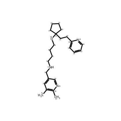 Cc1cc(CNCCCCOC2(CCc3ccccn3)CCCC2)cnc1C